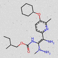 CCC(C)COC(=O)N/C(=C(/N)c1ccc(OC2CCCCC2)c(C)n1)N(C)N